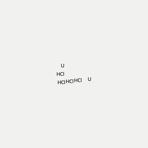 Cl.Cl.Cl.Cl.[U].[U]